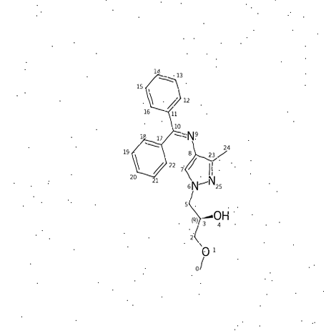 COC[C@H](O)Cn1cc(N=C(c2ccccc2)c2ccccc2)c(C)n1